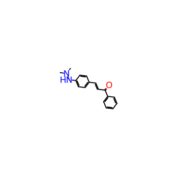 CN(C)Nc1ccc(C=CC(=O)c2ccccc2)cc1